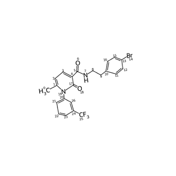 Cc1ccc(C(=O)NCCc2ccc(Br)cc2)c(=O)n1-c1cccc(C(F)(F)F)c1